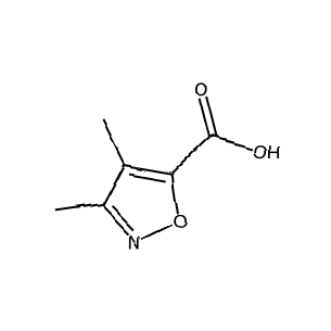 Cc1noc(C(=O)O)c1C